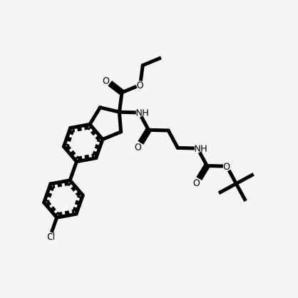 CCOC(=O)C1(NC(=O)CCNC(=O)OC(C)(C)C)Cc2ccc(-c3ccc(Cl)cc3)cc2C1